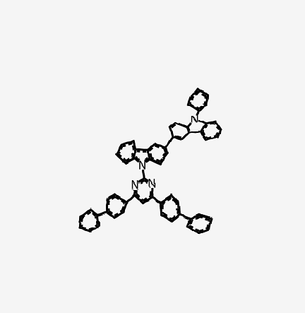 C1=CC2C(C=C1c1ccc3c(c1)c1ccccc1n3-c1nc(-c3ccc(-c4ccccc4)cc3)cc(-c3ccc(-c4ccccc4)cc3)n1)c1ccccc1N2c1ccccc1